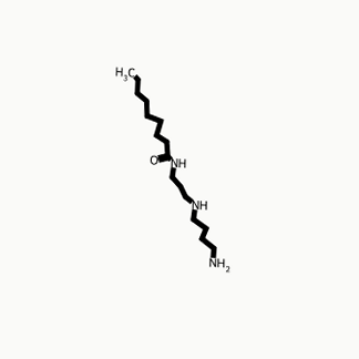 CCCCCCCCC(=O)NCCCNCCCCN